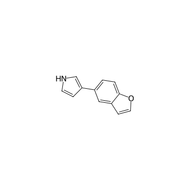 c1cc(-c2ccc3occc3c2)c[nH]1